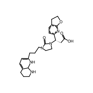 O=C(O)C[C@@H](c1ccc2c(n1)OCC2)N1CCN(CCCC2=CC=C3CCCNC3N2)C1=O